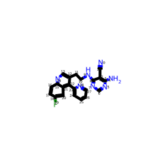 N#Cc1c(N)ncnc1NCCc1cnc2ccc(F)cc2c1-c1ccccn1